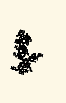 BC1(B)C2CC[C@]3(B)C(CC=C4C5C[C@@](B)(S)[C@@H](OC(C)=O)[C@H](OC(=O)/C(C)=C\O)[C@]5(CO)[C@H](O)C[C@]43B)[C@@]2(B)CC[C@@H]1OC(OC(C(=O)OCCCC)C(C[C@@H](C)O)O[C@H]1CC[C@H](CO)O1)[C@H](C)OC1OC(CO)C(O)C(O)C1O